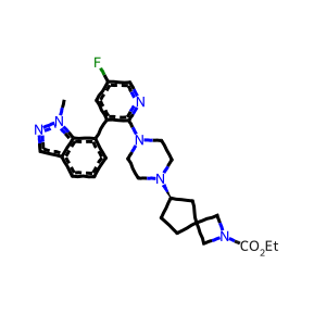 CCOC(=O)N1CC2(CC[C@@H](N3CCN(c4ncc(F)cc4-c4cccc5cnn(C)c45)CC3)C2)C1